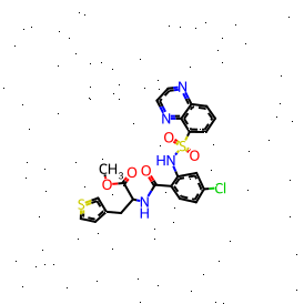 COC(=O)C(Cc1ccsc1)NC(=O)c1ccc(Cl)cc1NS(=O)(=O)c1cccc2nccnc12